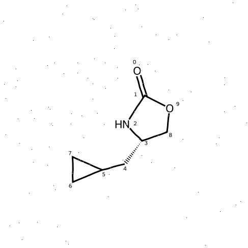 O=C1N[C@@H](CC2CC2)CO1